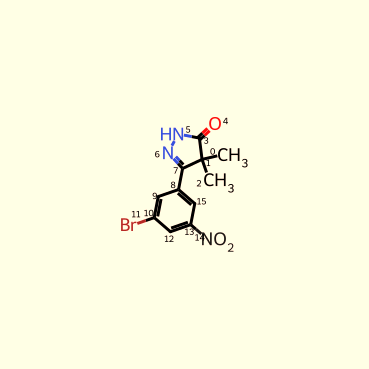 CC1(C)C(=O)NN=C1c1cc(Br)cc([N+](=O)[O-])c1